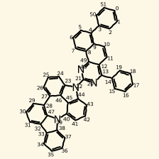 c1ccc(-c2cccc3c2ccc2c(-c4ccccc4)nc(-n4c5cccc6c7cccc8c9ccccc9n(c9cccc4c9c65)c78)nc23)cc1